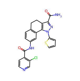 NC(=O)c1nn(-c2cccs2)c2c1CCc1ccc(NC(=O)c3ccncc3Cl)cc1-2